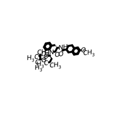 COc1ccc2c(c1)CCC(C(=O)N[C@@H](Cc1ccccc1)C(=O)N[C@@H](CC(C)C)B1OC(C)C(C)(C)O1)C2